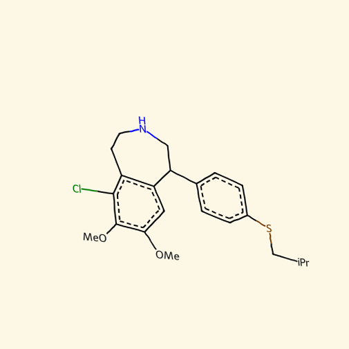 COc1cc2c(c(Cl)c1OC)CCNCC2c1ccc(SCC(C)C)cc1